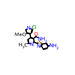 COc1cnc(Cl)cc1-c1cc(C)nc(-c2nc3ccc(N)cc3s2)c1C(N)=O